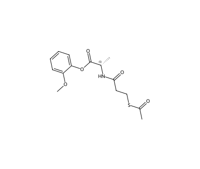 COc1ccccc1OC(=O)[C@H](C)NC(=O)CCSC(C)=O